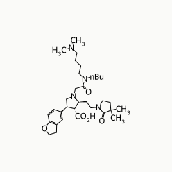 CCCCN(CCCCN(C)C)C(=O)CN1C[C@H](c2ccc3c(c2)CCO3)[C@@H](C(=O)O)[C@@H]1CCN1CCC(C)(C)C1=O